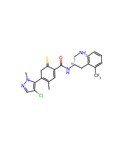 CC1=C(c2c(Cl)cnn2C)CC(=S)C(C(=O)N[C@H](CN)Cc2ccccc2C(F)(F)F)=C1